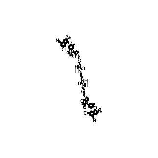 Cc1cc(N([C@H]2CCN(CCOCCNC(=O)NCCCCNC(=O)NCCOCCN3CC[C@H](N(c4ccc(O[C@H]5c6cc(Cl)cc(C#N)c6C[C@@H]5N(C)C)c(C)c4)[SH](=O)=O)C3=O)C2=O)[SH](=O)=O)ccc1O[C@H]1c2cc(Cl)cc(C#N)c2C[C@@H]1N(C)C